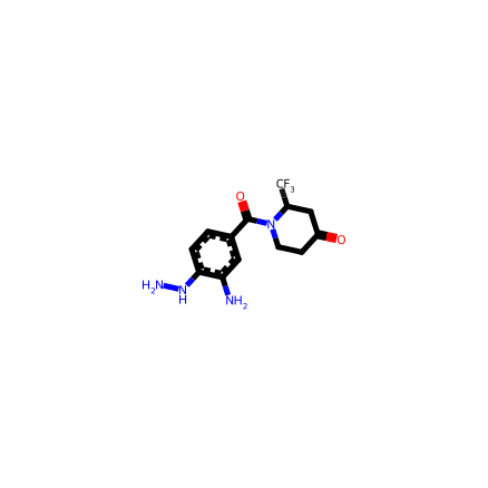 NNc1ccc(C(=O)N2CCC(=O)CC2C(F)(F)F)cc1N